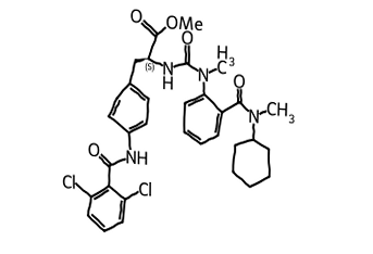 COC(=O)[C@H](Cc1ccc(NC(=O)c2c(Cl)cccc2Cl)cc1)NC(=O)N(C)c1ccccc1C(=O)N(C)C1CCCCC1